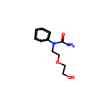 NC(=O)N(CCOCCO)c1[c]cccc1